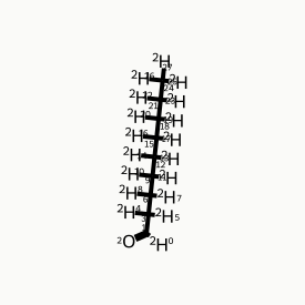 [2H]C(=O)C([2H])([2H])C([2H])([2H])C([2H])([2H])C([2H])([2H])C([2H])([2H])C([2H])([2H])C([2H])([2H])C([2H])([2H])[2H]